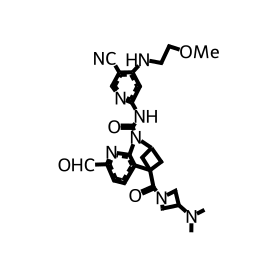 COCCNc1cc(NC(=O)N2c3nc(C=O)ccc3C3(C(=O)N4CC(N(C)C)C4)CC2C3)ncc1C#N